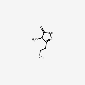 CCCc1n[nH]c(=O)n1C